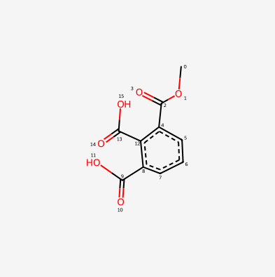 COC(=O)c1cccc(C(=O)O)c1C(=O)O